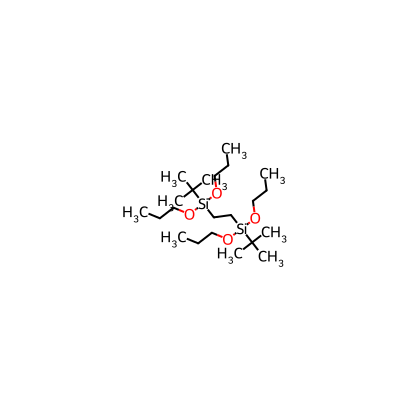 CCCO[Si](CC[Si](OCCC)(OCCC)C(C)(C)C)(OCCC)C(C)(C)C